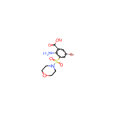 Nc1c(C(=O)O)cc(Br)cc1S(=O)(=O)N1CCOCC1